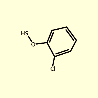 SOc1ccccc1Cl